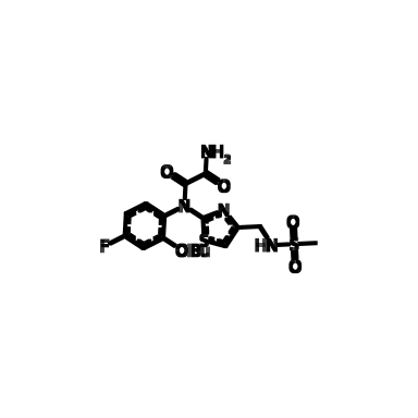 CC(C)COc1cc(F)ccc1N(C(=O)C(N)=O)c1nc(CNS(C)(=O)=O)cs1